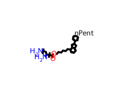 CCCCCc1ccc(C2=Cc3c(CCCCCCOC(=O)C(C)(C)C(N)CC(C)(C)N)cccc3C2)cc1